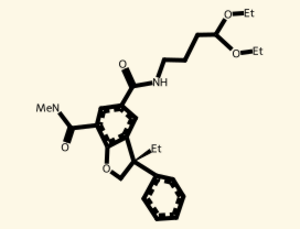 CCOC(CCCNC(=O)c1cc(C(=O)NC)c2c(c1)[C@](CC)(c1ccccc1)CO2)OCC